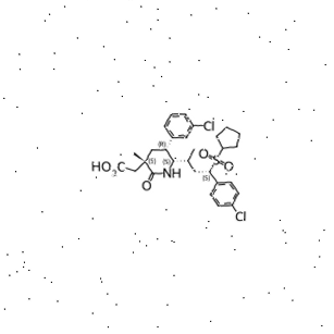 CC(C[C@@H](c1ccc(Cl)cc1)S(=O)(=O)C1CCCC1)[C@@H]1NC(=O)[C@](C)(CC(=O)O)C[C@@H]1c1cccc(Cl)c1